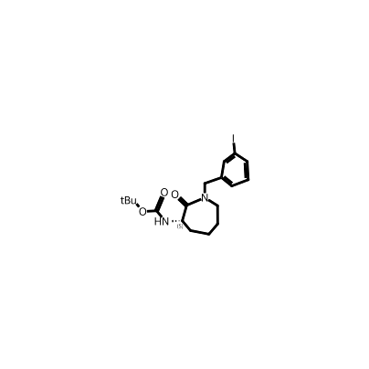 CC(C)(C)OC(=O)N[C@H]1CCCCN(Cc2cccc(I)c2)C1=O